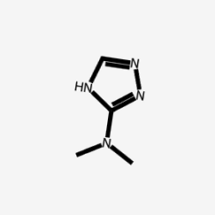 CN(C)c1nnc[nH]1